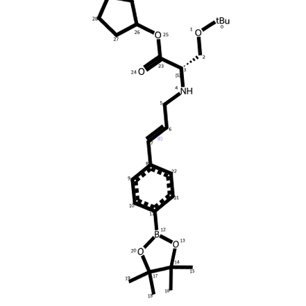 CC(C)(C)OC[C@H](NC/C=C/c1ccc(B2OC(C)(C)C(C)(C)O2)cc1)C(=O)OC1CCCC1